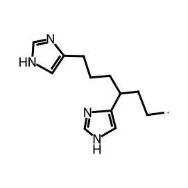 [CH2]CCC(CCCc1c[nH]cn1)c1c[nH]cn1